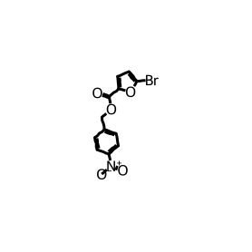 O=C(OCc1ccc([N+](=O)[O-])cc1)c1ccc(Br)o1